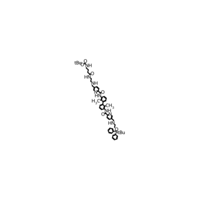 Cc1c(NC(=O)c2ccc(CNCCNC(=O)CCCNC(=O)OC(C)(C)C)cn2)cccc1-c1cccc(NC(=O)c2ccc(CNCCO[Si](c3ccccc3)(c3ccccc3)C(C)(C)C)cn2)c1C